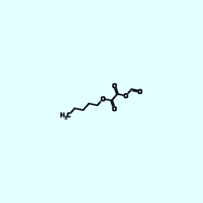 CCCCCOC(=O)C(=O)OC=O